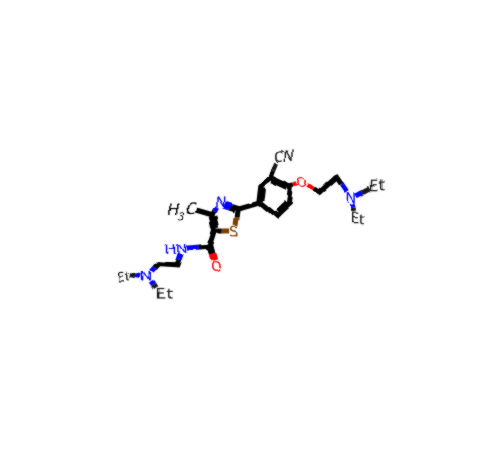 CCN(CC)CCNC(=O)c1sc(-c2ccc(OCCN(CC)CC)c(C#N)c2)nc1C